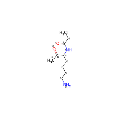 CCC(=O)NC(CCCCN)C(C)=O